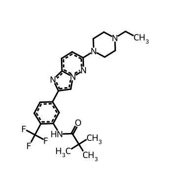 CCN1CCN(c2ccc3nc(-c4ccc(C(F)(F)F)c(NC(=O)C(C)(C)C)c4)cn3n2)CC1